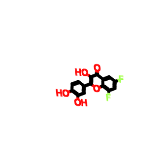 O=c1c(O)c(-c2ccc(O)c(O)c2)oc2c(F)cc(F)cc12